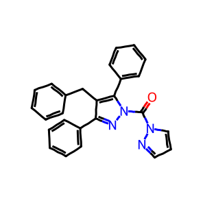 O=C(n1cccn1)n1nc(-c2ccccc2)c(Cc2ccccc2)c1-c1ccccc1